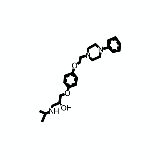 CC(C)NC[C@H](O)COc1ccc(OCCN2CCN(c3ccccc3)CC2)cc1